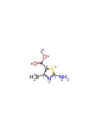 Bc1nc(N)sc1C(=O)OC